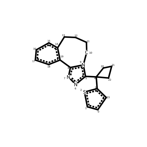 c1csc(C2(c3nnc4n3CCCCc3ccccc3-4)CCC2)c1